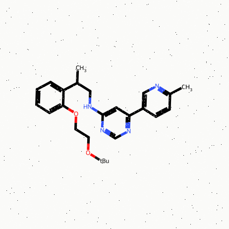 Cc1ccc(-c2cc(NCC(C)c3ccccc3OCCOC(C)(C)C)ncn2)cn1